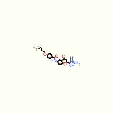 CCCCOc1ccc(C(=O)Nc2ccc3oc(C(=N)NN)cc(=O)c3c2)cc1